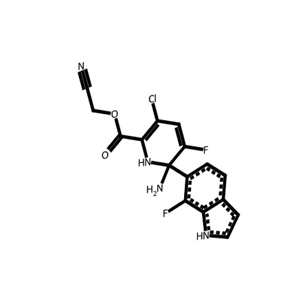 N#CCOC(=O)C1=C(Cl)C=C(F)C(N)(c2ccc3cc[nH]c3c2F)N1